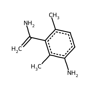 C=C(N)c1c(C)ccc(N)c1C